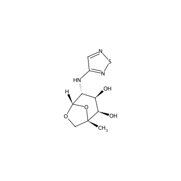 C[C@@]12CO[C@@H](O1)[C@H](Nc1cnsn1)[C@@H](O)[C@H]2O